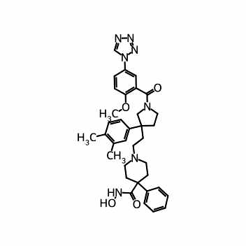 COc1ccc(-n2cnnn2)cc1C(=O)N1CCC(CCN2CCC(C(=O)NO)(c3ccccc3)CC2)(c2ccc(C)c(C)c2)C1